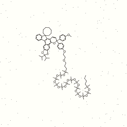 CCCC[Si](C)(C)O[Si](C)(C)O[Si](C)(C)O[Si](C)(C)O[Si](C)(C)O[Si](C)(C)O[Si](C)(C)O[Si](C)(C)O[Si](C)(C)O[Si](C)(C)O[Si](C)(C)O[Si](C)(C)O[Si](C)(C)CCCOCCOc1ccc(C2(c3ccc(OC)cc3)C=Cc3c4c(c5cc6c(cc5c3O2)SC(C(C)C)(C(C)C)O6)-c2ccccc2C42CCCCCCC2)cc1